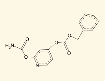 NC(=O)Oc1cc(OC(=O)OCc2ccccc2)ccn1